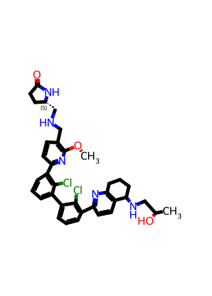 COc1nc(-c2cccc(-c3cccc(-c4ccc5c(n4)CCCC5NCC(C)O)c3Cl)c2Cl)ccc1CNC[C@@H]1CCC(=O)N1